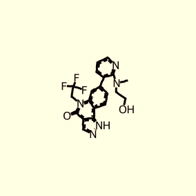 CN(CCO)c1ncccc1-c1ccc2c3[nH]ncc3c(=O)n(CC(F)(F)F)c2c1